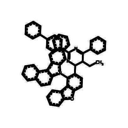 CCC1C(c2ccccc2)=NC(c2ccc(-c3ccccc3)cc2)=NC1c1ccc2oc3ccccc3c2c1-n1c2cc3ccccc3cc2c2c3ccccc3ccc21